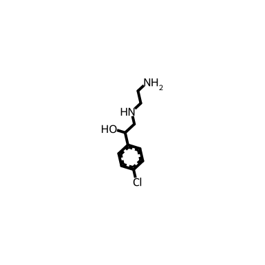 NCCNCC(O)c1ccc(Cl)cc1